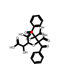 O=C(O)C(O)C(OC(C(=O)O)(C(=O)c1ccccc1)C(O)(C(=O)O)C(=O)c1ccccc1)C(=O)O